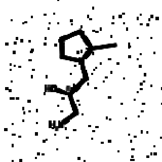 CC1CCCN1C[C@H](O)CN